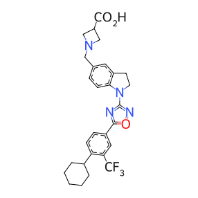 O=C(O)C1CN(Cc2ccc3c(c2)CCN3c2noc(-c3ccc(C4CCCCC4)c(C(F)(F)F)c3)n2)C1